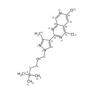 Cc1nn(COCC[Si](C)(C)C)cc1-c1nc(Cl)c2cc(Cl)ncc2n1